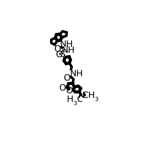 CN(C)c1ccc2c(CC(=O)NCCc3ccc([S+]([O-])NC(=O)Nc4c5c(cc6c4CCC6)CCC5)cc3)cc(=O)oc2c1